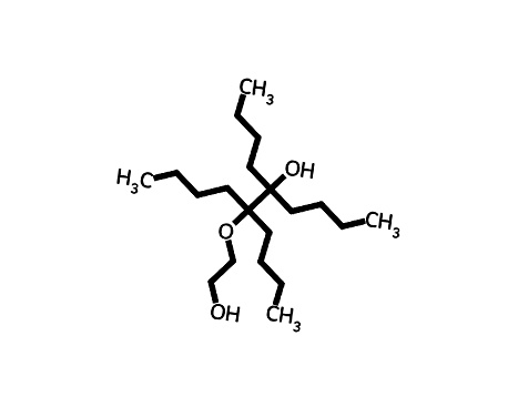 CCCCC(O)(CCCC)C(CCCC)(CCCC)OCCO